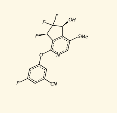 CSc1cnc(Oc2cc(F)cc(C#N)c2)c2c1[C@H](O)C(F)(F)[C@@H]2F